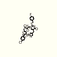 CN(Cc1ccc(-c2ccc(Cl)cc2)s1)C(=O)Cn1cc(Cc2cnn(C)c2)c(=O)nc1SCc1ccc(F)cc1